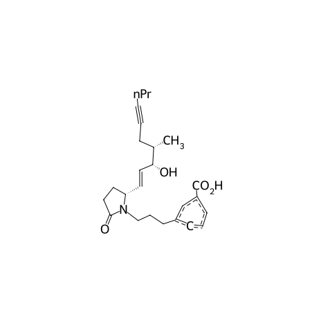 CCCC#CC[C@H](C)[C@H](O)/C=C/[C@H]1CCC(=O)N1CCCc1cccc(C(=O)O)c1